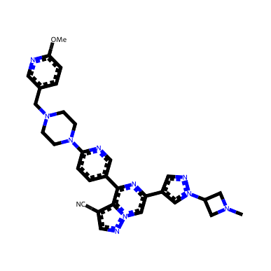 COc1ccc(CN2CCN(c3ccc(-c4nc(-c5cnn(C6CN(C)C6)c5)cn5ncc(C#N)c45)cn3)CC2)cn1